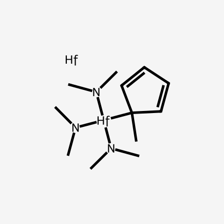 C[N](C)[Hf]([N](C)C)([N](C)C)[C]1(C)C=CC=C1.[Hf]